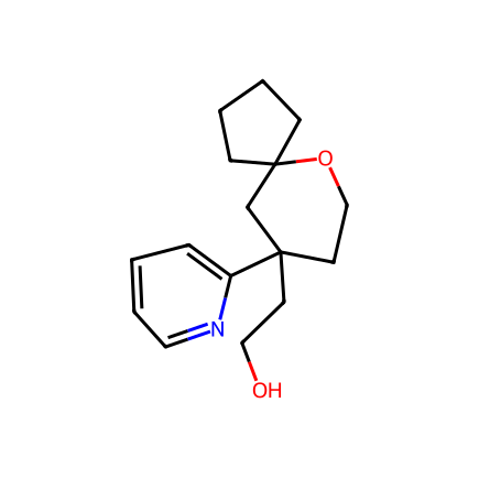 OCCC1(c2ccccn2)CCOC2(CCCC2)C1